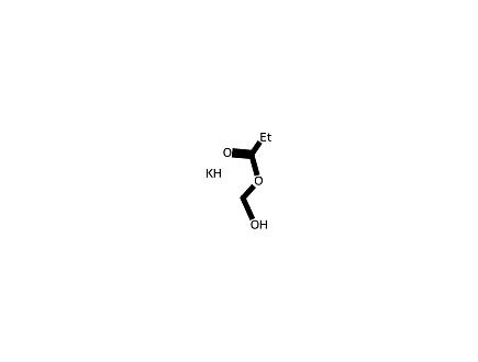 CCC(=O)OCO.[KH]